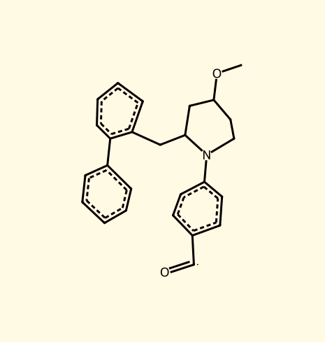 COC1CCN(c2ccc([C]=O)cc2)C(Cc2ccccc2-c2ccccc2)C1